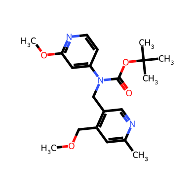 COCc1cc(C)ncc1CN(C(=O)OC(C)(C)C)c1ccnc(OC)c1